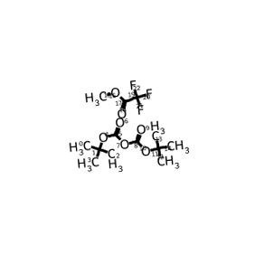 CC(C)(C)OC(=O)OC(=O)OC(C)(C)C.COC(=O)C(F)(F)F